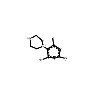 Cc1cc(C(C)C)cc(C#N)c1N1CCNCC1